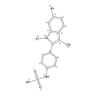 CCCS(=O)(=O)Nc1ccc(-c2c(C#N)c3ccc(C(C)C)cc3n2CC)cc1